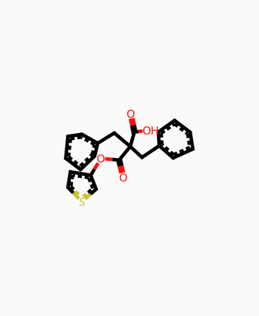 O=C(O)C(Cc1ccccc1)(Cc1ccccc1)C(=O)Oc1ccsc1